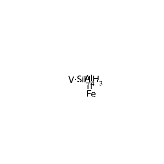 [AlH3].[Fe].[SiH4].[Ti].[V]